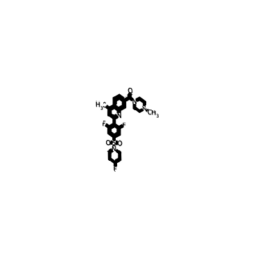 Cc1cc(-c2c(F)cc(S(=O)(=O)N3CCC(F)CC3)cc2F)nc2cc(C(=O)N3CCN(C)CC3)ccc12